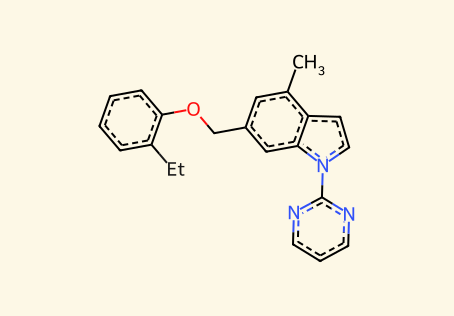 CCc1ccccc1OCc1cc(C)c2ccn(-c3ncccn3)c2c1